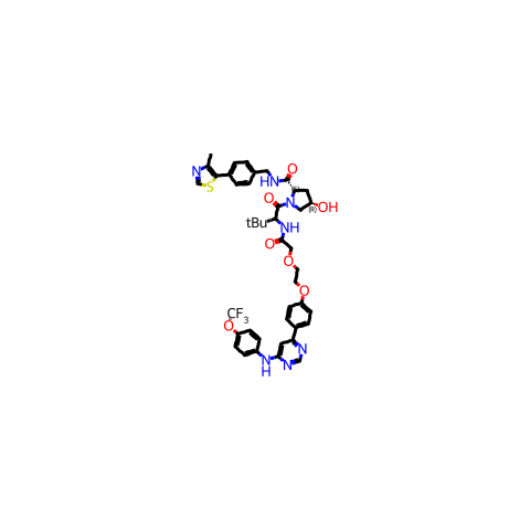 Cc1ncsc1-c1ccc(CNC(=O)[C@@H]2C[C@@H](O)CN2C(=O)C(NC(=O)COCCOc2ccc(-c3cc(Nc4ccc(OC(F)(F)F)cc4)ncn3)cc2)C(C)(C)C)cc1